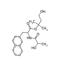 CC(O)C(=O)NC(Cc1ccc2ccccc2c1)C(=O)OC(C)(C)CCO